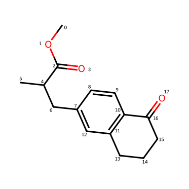 COC(=O)C(C)Cc1ccc2c(c1)CCCC2=O